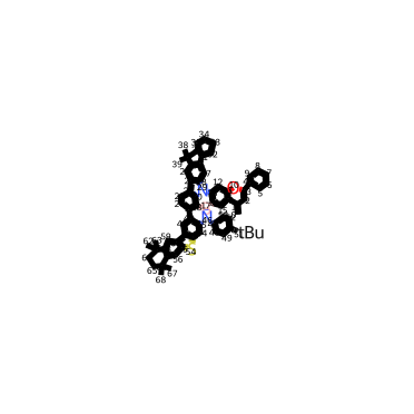 C=C1C=C(c2ccccc2)Oc2cc3c(cc21)B1c2c(ccc4c5cc6c(cc5n-3c24)-c2ccccc2C6(C)C)-c2cc3c(cc2N1c1ccc(C(C)(C)C)cc1)sc1cc2c(cc13)C(C)(C)CCC2(C)C